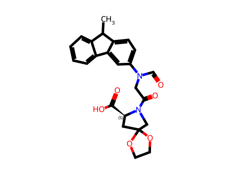 CC1c2ccccc2-c2cc(N(C=O)CC(=O)N3CC4(C[C@H]3C(=O)O)OCCO4)ccc21